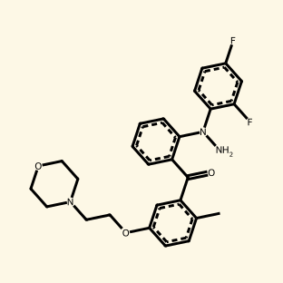 Cc1ccc(OCCN2CCOCC2)cc1C(=O)c1ccccc1N(N)c1ccc(F)cc1F